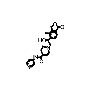 Cc1c(C(O)CN2CCC(C(=O)Nc3ccncc3)CC2)ccc2c1COC2=O